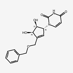 O=c1ccn([C@@H]2C=C(COCc3ccccc3)[C@@H](O)[C@H]2O)c(=O)[nH]1